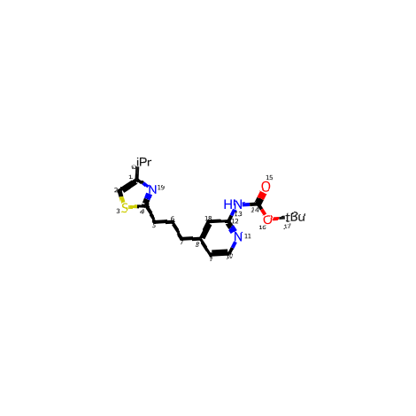 CC(C)c1csc(CCCc2ccnc(NC(=O)OC(C)(C)C)c2)n1